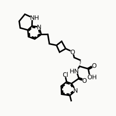 Cc1ccc(Cl)c(C(=O)N[C@H](CCOC2CC(CCc3ccc4c(n3)NCCC4)C2)C(=O)O)n1